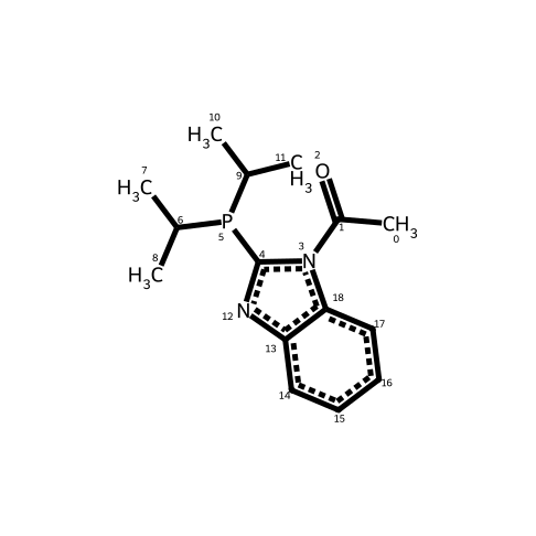 CC(=O)n1c(P(C(C)C)C(C)C)nc2ccccc21